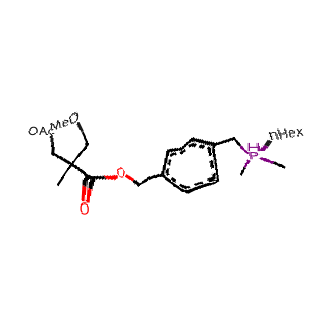 CCCCCC[PH](C)(C)Cc1ccc(COC(=O)C(C)(COC)COC(C)=O)cc1